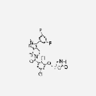 C[C@H]1c2nn(C)c(-c3cc(F)cc(F)c3)c2CCN1C(=O)c1cc(Cl)cc(OC[C@@H]2CNC(=O)O2)c1Cl